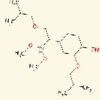 CO[SiH](OC)C(COCC(C)C)C1CCC(O)C(OCC(C)C)C1